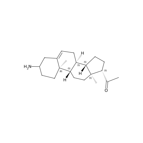 CC(=O)[C@H]1CC[C@H]2[C@@H]3CC=C4CC(N)CC[C@]4(C)[C@H]3CC[C@]12C